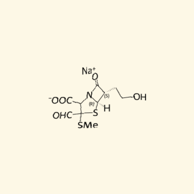 CSC1(C=O)S[C@@H]2[C@@H](CCO)C(=O)N2C1C(=O)[O-].[Na+]